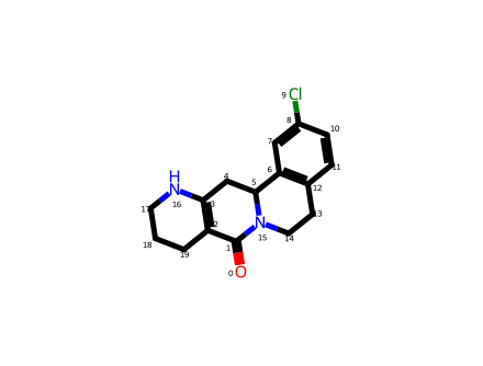 O=C1C2=C(CC3c4cc(Cl)ccc4CCN13)NCCC2